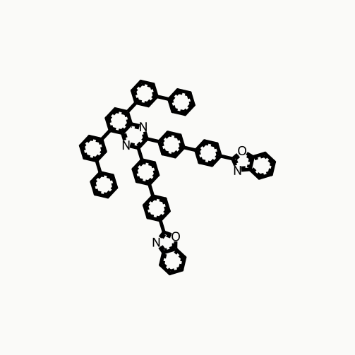 c1ccc(-c2cccc(-c3ccc(-c4cccc(-c5ccccc5)c4)c4nc(-c5ccc(-c6ccc(-c7nc8ccccc8o7)cc6)cc5)c(-c5ccc(-c6ccc(-c7nc8ccccc8o7)cc6)cc5)nc34)c2)cc1